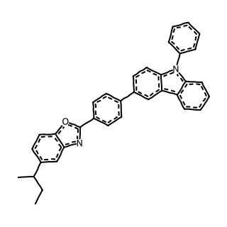 CCC(C)c1ccc2oc(-c3ccc(-c4ccc5c(c4)c4ccccc4n5-c4ccccc4)cc3)nc2c1